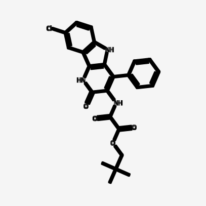 CC(C)(C)COC(=O)C(=O)Nc1c(-c2ccccc2)c2[nH]c3ccc(Cl)cc3c2[nH]c1=O